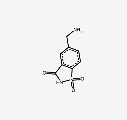 NCc1ccc2c(c1)C(=O)NS2(=O)=O